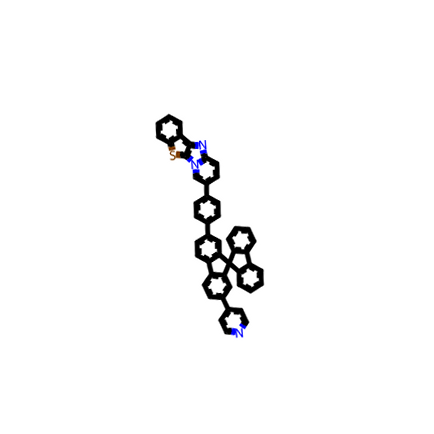 c1ccc2c(c1)-c1ccccc1C21c2cc(-c3ccncc3)ccc2-c2ccc(-c3ccc(-c4ccc5nc6c7ccccc7sc6n5c4)cc3)cc21